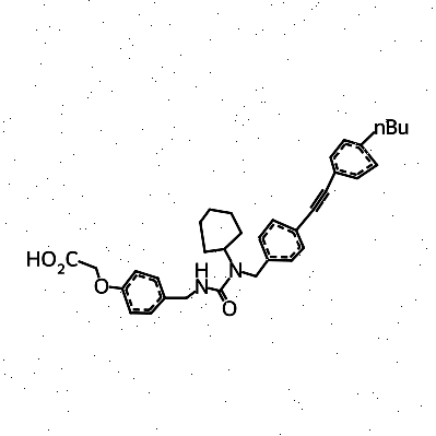 CCCCc1ccc(C#Cc2ccc(CN(C(=O)NCc3ccc(OCC(=O)O)cc3)C3CCCCC3)cc2)cc1